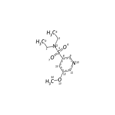 CCN(CC)S(=O)(=O)c1cncc(OC)c1